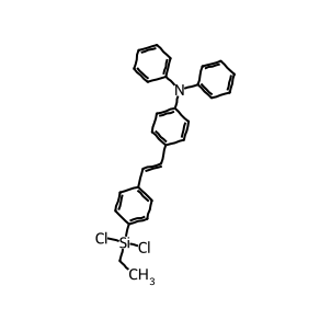 CC[Si](Cl)(Cl)c1ccc(C=Cc2ccc(N(c3ccccc3)c3ccccc3)cc2)cc1